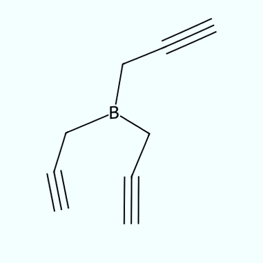 C#CCB(CC#C)CC#C